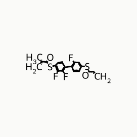 C=CC(=O)Sc1ccc(-c2ccc(SC(=O)C(=C)C)c(F)c2F)c(F)c1